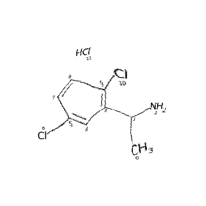 CC(N)c1cc(Cl)ccc1Cl.Cl